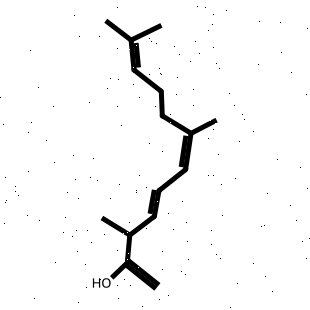 C=C(O)C(C)C=CC=C(C)CCC=C(C)C